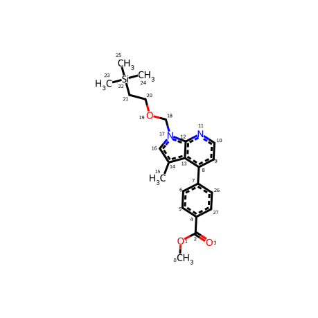 COC(=O)c1ccc(-c2ccnc3c2c(C)cn3COCC[Si](C)(C)C)cc1